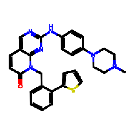 CN1CCN(c2ccc(Nc3ncc4ccc(=O)n(Cc5ccccc5-c5cccs5)c4n3)cc2)CC1